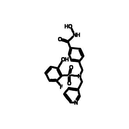 O=C(NO)c1ccc(CN(Cc2cccnc2)S(=O)(=O)c2c(O)cccc2F)cc1